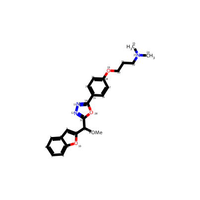 COC(c1cc2ccccc2o1)c1nnc(-c2ccc(OCCCN(C)C)cc2)o1